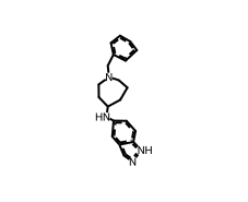 c1ccc(CN2CCCC(Nc3ccc4[nH]ncc4c3)CC2)cc1